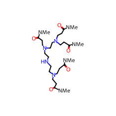 CNC(=O)CCN(CCNCCN(CCC(=O)NC)CCN(CCC(=O)NC)CCC(=O)NC)CCC(=O)NC